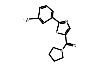 Cc1cccc(-c2ncc(C(=O)N3CCCC3)s2)c1